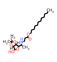 CCCCCCCCCCCCOC(=O)CCN[C@@H](C)[C@H]1O[C@H](O)[C@H]2OC(C)(C)O[C@@H]12